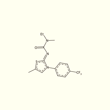 CCN(C)C(=O)N=c1sc(C)cn1-c1ccc(C(F)(F)F)cc1